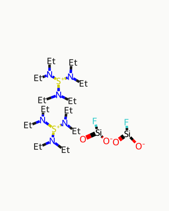 CCN(CC)[S+](N(CC)CC)N(CC)CC.CCN(CC)[S+](N(CC)CC)N(CC)CC.O=[Si]([O-])F.O=[Si]([O-])F